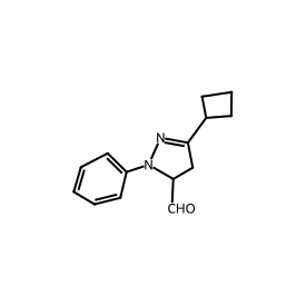 O=CC1CC(C2CCC2)=NN1c1ccccc1